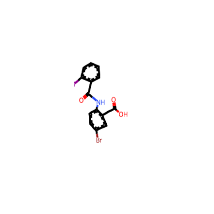 O=C(Nc1ccc(Br)cc1C(=O)O)c1ccccc1I